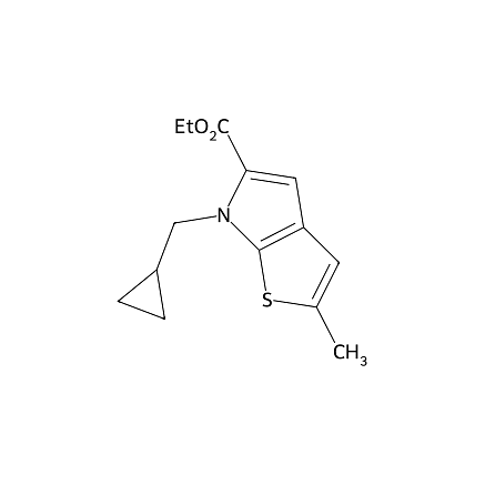 CCOC(=O)c1cc2cc(C)sc2n1CC1CC1